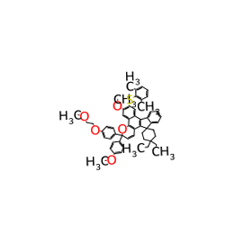 CCC1(CC)CCC2(CC1)c1ccccc1-c1c2c2c(c3cc(OC)c(Sc4c(C)cccc4C)cc13)OC(c1ccc(OC)cc1)(c1ccc(OCCOC)cc1)C=C2